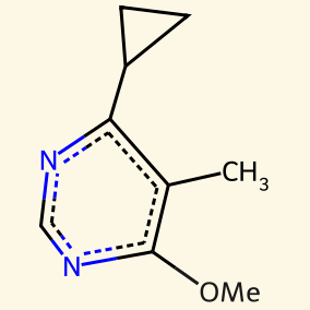 COc1ncnc(C2CC2)c1C